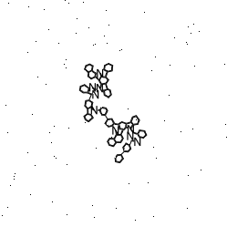 c1ccc(-c2ccc(-c3nc(-n4c5ccccc5c5cc6c7cc(-c8cccc(-n9c%10ccccc%10c%10ccc(-c%11nc(-n%12c%13ccccc%13c%13cc%14c%15ccccc%15n%15c%16c%17ccccc%17ccc%16c(c%13%12)c%14%15)nc%12ccccc%11%12)cc%109)c8)ccc7n7c8c9ccccc9ccc8c(c54)c67)c4ccccc4n3)cc2)cc1